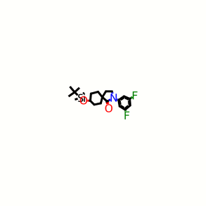 CC(C)(C)[Si](C)(C)OC1CCC2(CC1)CCN(c1cc(F)cc(F)c1)C2=O